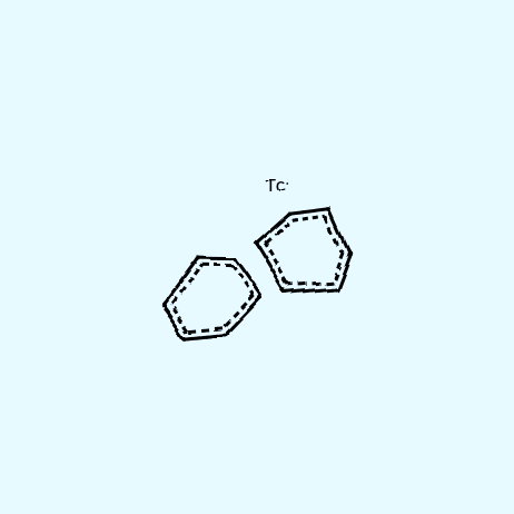 [Tc].c1ccccc1.c1ccccc1